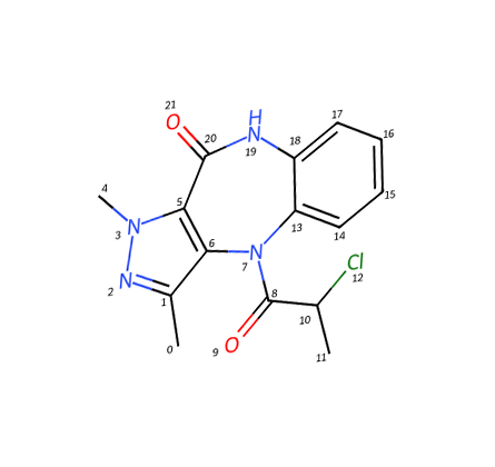 Cc1nn(C)c2c1N(C(=O)C(C)Cl)c1ccccc1NC2=O